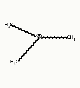 CCCCCCCCCCCCCCCCCCC1N(CCCCCCCCCCCCCCCC)C=CN1CCCCCCCCCCCCCCCC